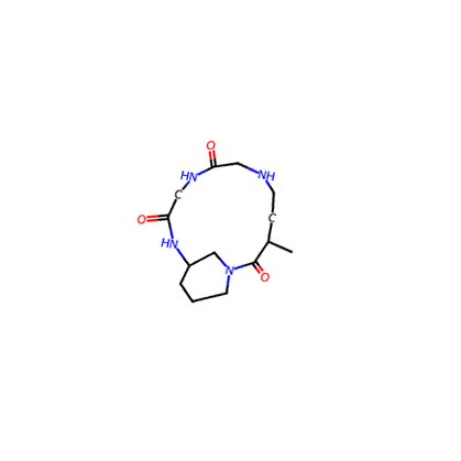 CC1CCNCC(=O)NCC(=O)NC2CCCN(C2)C1=O